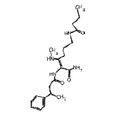 CCCC(=O)NCCCC(NC)=C(NC(=O)CC(C)c1ccccc1)C(N)=O